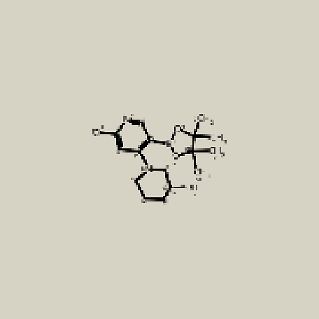 CC1(C)OB(c2cnc(Cl)cc2N2CCC[C@H](O)C2)OC1(C)C